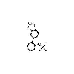 CSc1cccc(-c2ccccc2OC(F)(F)F)c1